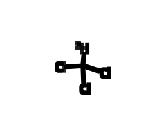 [3H]C(Cl)(Cl)Cl